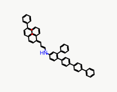 C(=C/c1ccc(-c2ccccc2)cc1)/C(=C\C=C\Nc1ccc(-c2ccc(-c3ccc(-c4ccccc4)cc3)cc2)c(-c2ccccc2)c1)c1ccccc1